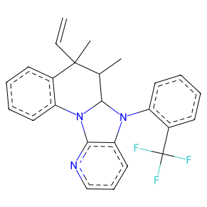 C=CC1(C)c2ccccc2N2c3ncccc3N(c3ccccc3C(F)(F)F)C2C1C